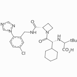 CC(C)(C)C(N[C@@H](C(=O)N1CC[C@H]1C(=O)NCc1cc(Cl)ccc1-n1cncn1)C1CCCCC1)C(=O)O